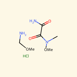 COCN.CON(C)C(=O)C(N)=O.Cl